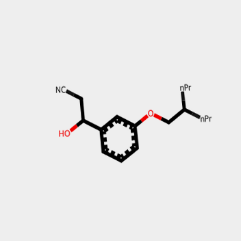 CCCC(CCC)COc1cccc(C(O)CC#N)c1